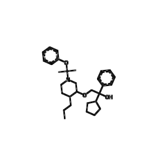 CCCC1CCN(C(C)(C)Oc2ccccc2)CC1OCC(O)(c1ccccc1)C1CCCC1